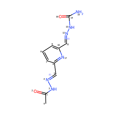 CC(=O)N/N=C/c1cccc(/C=N/NC(N)=O)n1